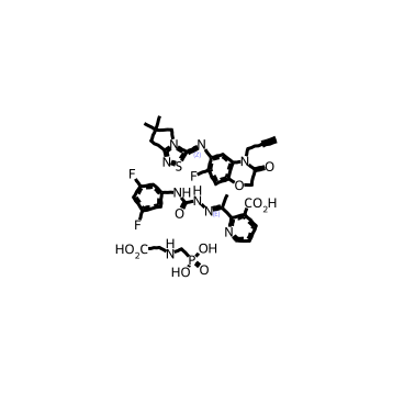 C#CCN1C(=O)COc2cc(F)c(/N=c3\snc4n3CC(C)(C)C4)cc21.C/C(=N\NC(=O)Nc1cc(F)cc(F)c1)c1ncccc1C(=O)O.O=C(O)CNCP(=O)(O)O